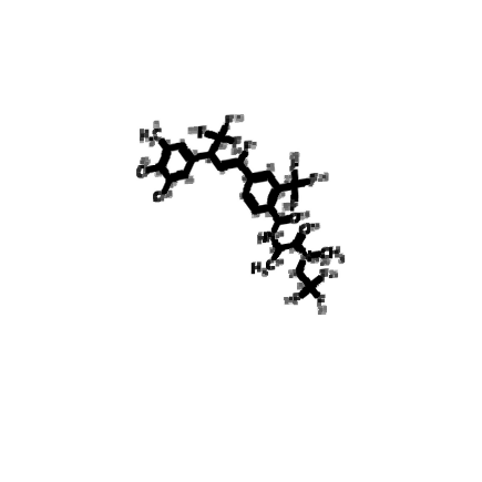 Cc1cc(C(/C=C(\F)c2ccc(C(=O)NC(C)C(=O)N(C)CC(F)(F)F)c(C(F)(F)F)c2)C(F)(F)F)cc(Cl)c1Cl